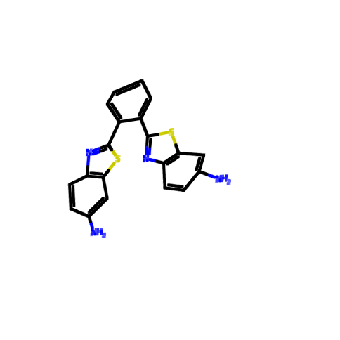 Nc1ccc2nc(-c3ccccc3-c3nc4ccc(N)cc4s3)sc2c1